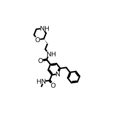 CNC(=O)c1cc(C(=O)NCC[C@H]2CNCCO2)cc(Cc2ccccc2)n1